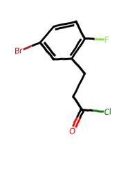 O=C(Cl)CCc1cc(Br)ccc1F